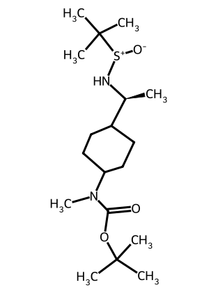 C[C@H](N[S+]([O-])C(C)(C)C)C1CCC(N(C)C(=O)OC(C)(C)C)CC1